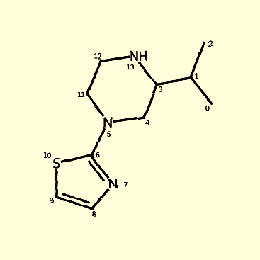 CC(C)C1CN(c2nccs2)CCN1